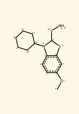 COc1ccc2c(c1)SC(SN)N2C1CCCCC1